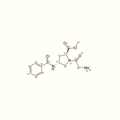 COC(=O)[C@@H]1C[C@@H](NC(=O)c2ccccc2)CN1C(=O)CN